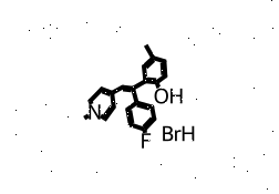 Br.Cc1ccc(O)c(C(=CC2=CCN(C)C=C2)c2ccc(F)cc2)c1